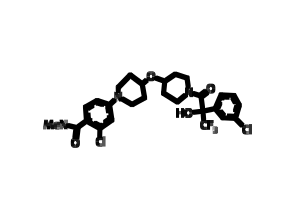 CNC(=O)c1ccc(N2CCC(OC3CCN(C(=O)C(O)(c4cccc(Cl)c4)C(F)(F)F)CC3)CC2)cc1Cl